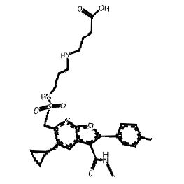 CNC(=O)c1c(-c2ccc(C)cc2)oc2nc(CS(=O)(=O)NCCCNCCCC(=O)O)c(C3CC3)cc12